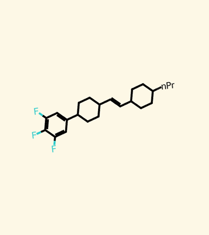 CCCC1CCC(C=CC2CCC(c3cc(F)c(F)c(F)c3)CC2)CC1